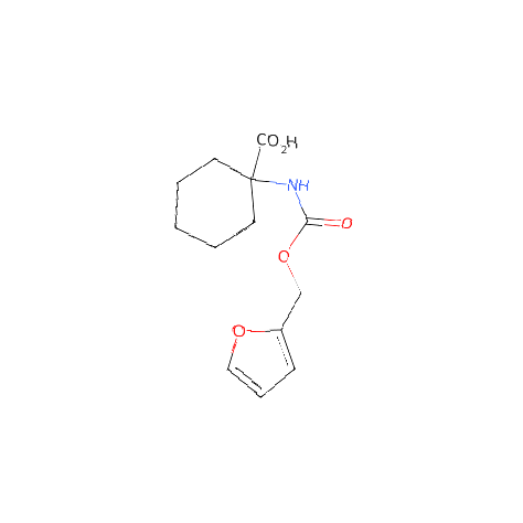 O=C(NC1(C(=O)O)CCCCC1)OCc1ccco1